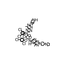 Cc1nc(N2CCC(N3CCCC3)CC2)nc2ncc(NC(=O)C(Oc3ccc(Cl)cc3Cl)C(Oc3ccc(Cl)cc3Cl)C(=O)Nc3cnc4nc(N5CC6CC5CN6)nc(C)c4n3)nc12